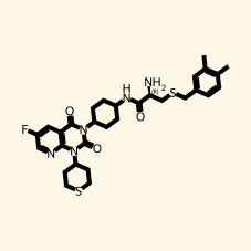 Cc1ccc(CSC[C@H](N)C(=O)NC2CCC(n3c(=O)c4cc(F)cnc4n(C4CCSCC4)c3=O)CC2)cc1C